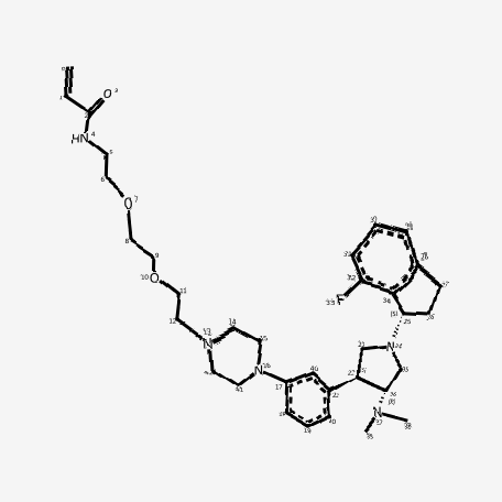 C=CC(=O)NCCOCCOCCN1CCN(c2cccc([C@H]3CN([C@H]4CCc5cccc(F)c54)C[C@@H]3N(C)C)c2)CC1